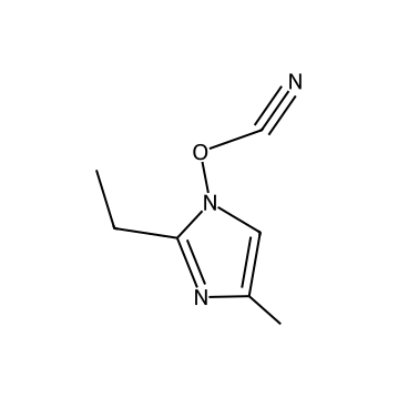 CCc1nc(C)cn1OC#N